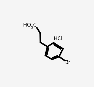 Cl.O=C(O)CCc1ccc(Br)cc1